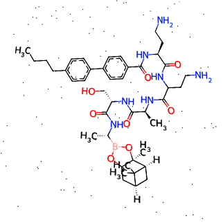 CCCCc1ccc(-c2ccc(C(=O)N[C@@H](CCN)C(=O)NC(CCN)C(=O)N[C@@H](C)C(=O)N[C@@H](CO)C(=O)N[C@@H](C)B3OC4C[C@@H]5C[C@@H](C5(C)C)[C@]4(C)O3)cc2)cc1